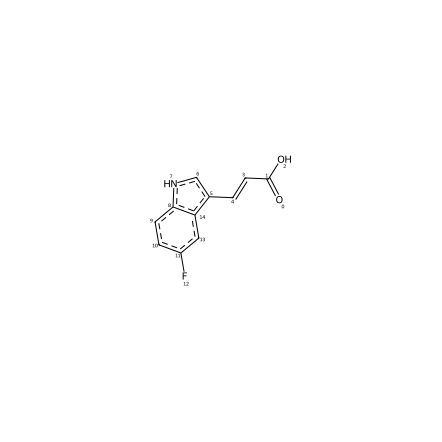 O=C(O)/C=C/c1c[nH]c2ccc(F)cc12